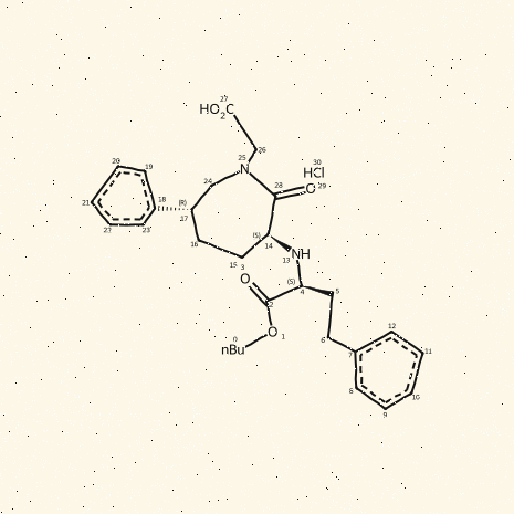 CCCCOC(=O)[C@H](CCc1ccccc1)N[C@H]1CC[C@H](c2ccccc2)CN(CC(=O)O)C1=O.Cl